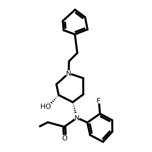 CCC(=O)N(c1ccccc1F)[C@H]1CCN(CCc2ccccc2)C[C@H]1O